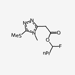 CCCC(F)OC(=O)Cc1nnc(SC)n1C